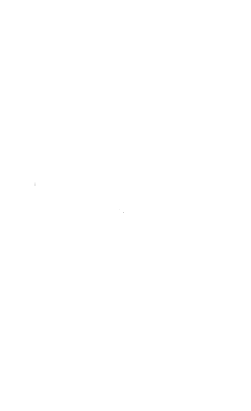 FC(F)(F)C1CCCCN1Cc1cc2cc(Br)ccc2n1C1CC1